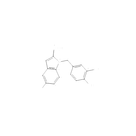 Cc1ccc(Cn2c(C(=O)O)cc3cc(O)ccc32)cc1F